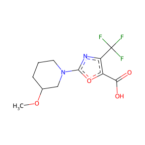 COC1CCCN(c2nc(C(F)(F)F)c(C(=O)O)o2)C1